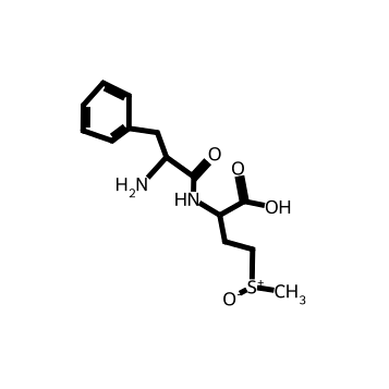 C[S+]([O-])CCC(NC(=O)C(N)Cc1ccccc1)C(=O)O